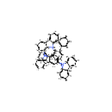 c1ccc(-c2cccc(-c3ccccc3)c2-n2c3ccccc3c3cccc(-n4c5ccccc5c5cc(-n6c7ccccc7c7ccccc76)ccc54)c32)cc1